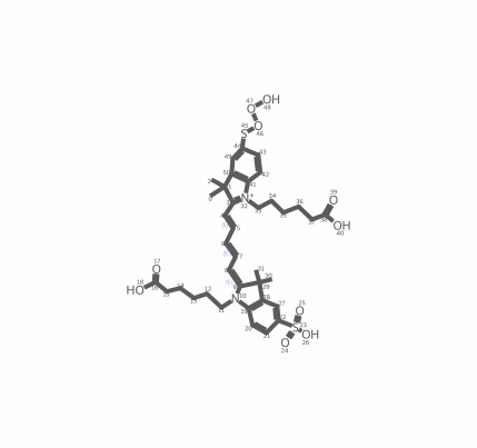 CC1(C)C(/C=C/C=C/C=C2/N(CCCCCC(=O)O)c3ccc(S(=O)(=O)O)cc3C2(C)C)=[N+](CCCCCC(=O)O)c2ccc(SOOO)cc21